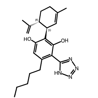 C=C(C)[C@@H]1CCC(C)=C[C@H]1c1c(O)cc(CCCCC)c(-c2nnn[nH]2)c1O